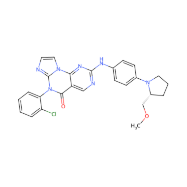 COC[C@H]1CCCN1c1ccc(Nc2ncc3c(=O)n(-c4ccccc4Cl)c4nccn4c3n2)cc1